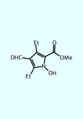 CCc1c(C=O)c(CC)n(O)c1C(=O)OC